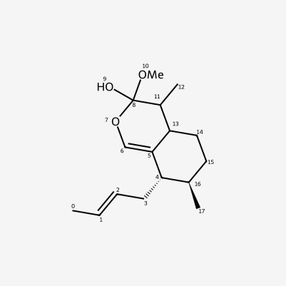 C/C=C/C[C@@H]1C2=COC(O)(OC)C(C)C2CC[C@H]1C